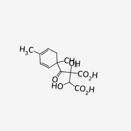 CC1=CCC(C)(C(=O)C(O)(C(=O)O)C(O)C(=O)O)C=C1